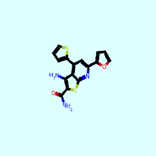 NC(=O)c1sc2nc(-c3ccco3)cc(-c3cccs3)c2c1N